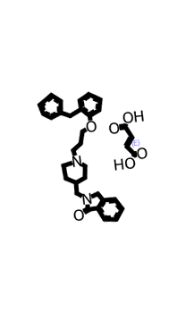 O=C(O)/C=C/C(=O)O.O=C1c2ccccc2CN1CC1CCN(CCCOc2ccccc2Cc2ccccc2)CC1